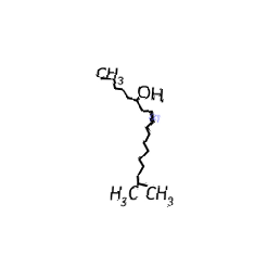 CCCCCCC(O)C/C=C\CCCCCCCC(C)CC